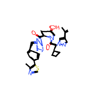 Cc1ncsc1-c1ccc(CNC(=O)C2CC(O)CN2C(=O)C(C2CCC2)n2cc(C(C)C)cn2)cc1